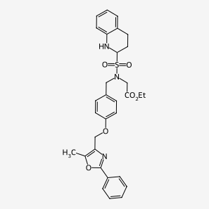 CCOC(=O)CN(Cc1ccc(OCc2nc(-c3ccccc3)oc2C)cc1)S(=O)(=O)C1CCc2ccccc2N1